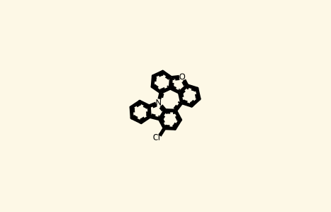 Clc1ccc2c3cccc4oc5cccc(c5c43)n3c4ccccc4c1c23